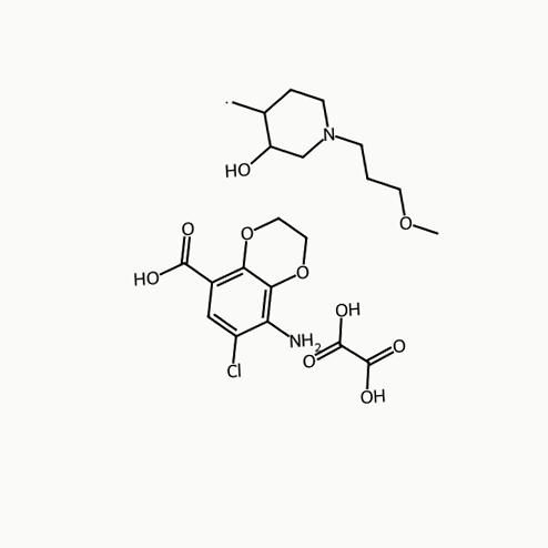 Nc1c(Cl)cc(C(=O)O)c2c1OCCO2.O=C(O)C(=O)O.[CH2]C1CCN(CCCOC)CC1O